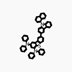 c1ccc(N(c2ccccc2)c2cc(N(c3ccccc3)c3ccccc3)c3sc4ccc(-c5ccc6c(c5)c5ccccc5n6-c5cccc6ccccc56)cc4c3c2)cc1